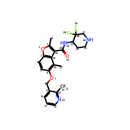 Cc1oc2ccc(OCc3cccnc3C(F)(F)F)c(C)c2c1C(=O)NC1CCNCC1(F)F